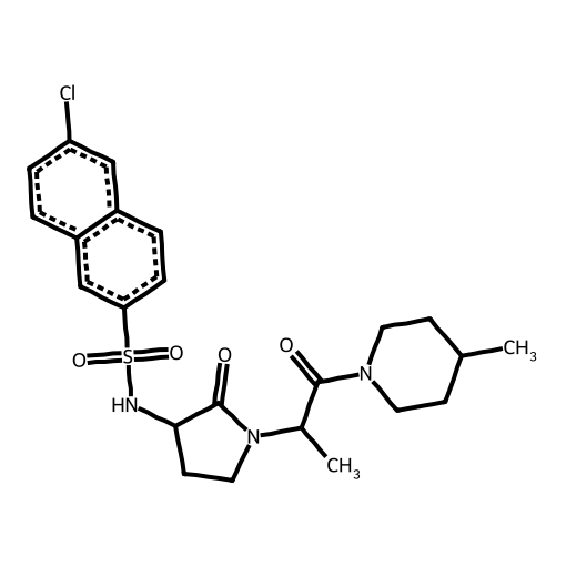 CC1CCN(C(=O)C(C)N2CCC(NS(=O)(=O)c3ccc4cc(Cl)ccc4c3)C2=O)CC1